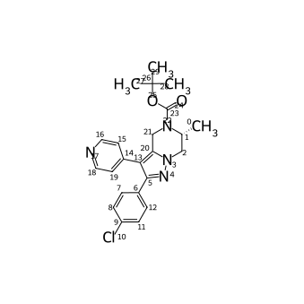 C[C@@H]1Cn2nc(-c3ccc(Cl)cc3)c(-c3ccncc3)c2CN1C(=O)OC(C)(C)C